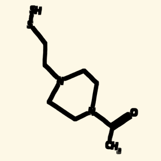 CC(=O)N1CCN(CCSS)CC1